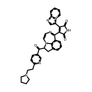 O=C1NC(=O)C(c2cnc3ccccn23)=C1C1=NC=CN2c3c(cccc31)CC2C(=O)c1ccc(CCN2CCCC2)nc1